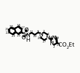 CCOC(=O)c1cnc(N2CCN(CCCNS(=O)(=O)c3ccc4ccccc4c3)CC2)nc1